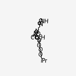 CC(C)CCCOCCOCCOCCOc1ccc([C@@H](CC(=O)O)N2CCN(CCCc3ccc4c(n3)NCCC4)C2=O)cc1F